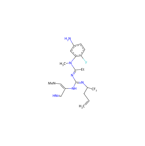 C=CCC(N=C(/N=C(\CC)N(C)c1cc(N)ccc1F)N/C(C=N)=C/NC)C(F)(F)F